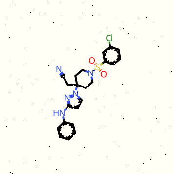 N#CCC1(n2ccc(Nc3ccccc3)n2)CCN(S(=O)(=O)c2cccc(Cl)c2)CC1